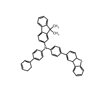 CC1(C)c2ccccc2-c2ccc(N(c3ccc(C4=CC5c6ccccc6SC5C=C4)cc3)c3ccc(C4=CC=CCC4)cc3)cc21